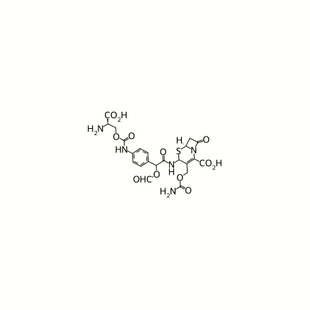 NC(=O)OCC1=C(C(=O)O)N2C(=O)C[C@@H]2SC1NC(=O)C(OC=O)c1ccc(NC(=O)OC[C@@H](N)C(=O)O)cc1